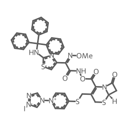 CO/N=C(\C(=O)NOC(=O)C1=C(CSc2cc[n+](-n3cnnc3)cc2)CS[C@H]2CC(=O)N12)c1csc(NC(c2ccccc2)(c2ccccc2)c2ccccc2)n1.[I-]